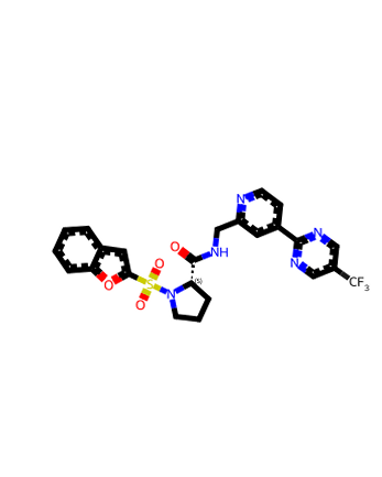 O=C(NCc1cc(-c2ncc(C(F)(F)F)cn2)ccn1)[C@@H]1CCCN1S(=O)(=O)c1cc2ccccc2o1